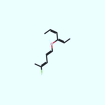 C/C=C\C(=C/C)O/C=C/C=C(\C)F